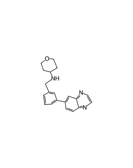 c1cc(CNC2CCOCC2)cc(-c2ccc3nccnc3c2)c1